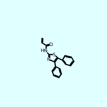 C=CC(=O)Nc1nc(-c2ccccc2)c(-c2ccccc2)s1